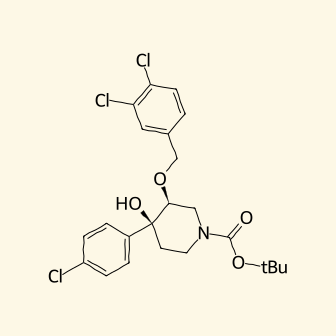 CC(C)(C)OC(=O)N1CC[C@](O)(c2ccc(Cl)cc2)[C@@H](OCc2ccc(Cl)c(Cl)c2)C1